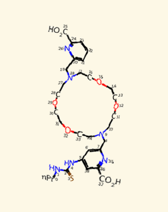 CCCNC(=S)Nc1cc(CN2CCOCCOCCN(Cc3cccc(C(=O)O)n3)CCOCCOCC2)nc(C(=O)O)c1